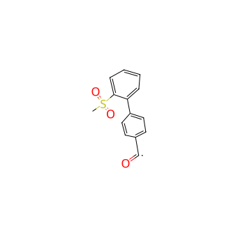 CS(=O)(=O)c1ccccc1-c1ccc([C]=O)cc1